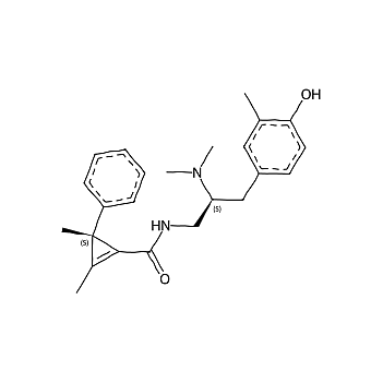 CC1=C(C(=O)NC[C@H](Cc2ccc(O)c(C)c2)N(C)C)[C@@]1(C)c1ccccc1